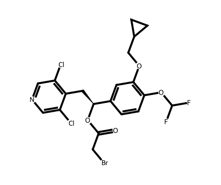 O=C(CBr)O[C@@H](Cc1c(Cl)cncc1Cl)c1ccc(OC(F)F)c(OCC2CC2)c1